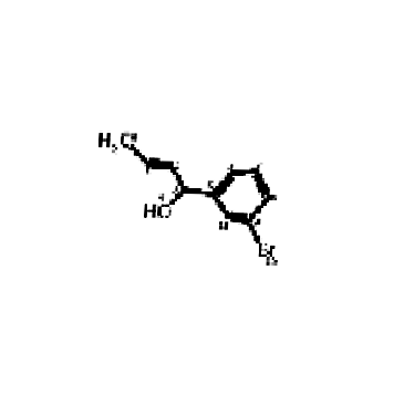 CC=CC(O)c1cccc(Br)c1